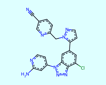 N#Cc1ccc(Cn2nccc2-c2cc(Cl)c3nnn(-c4ccnc(N)c4)c3c2)nc1